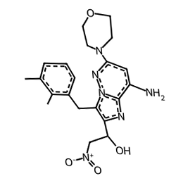 Cc1cccc(Cc2c(C(O)C[N+](=O)[O-])nc3c(N)cc(N4CCOCC4)nn23)c1C